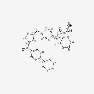 O=C(c1ccc(C2CCCCC2)cc1)N1CC[C@@H](Cc2ccc(S(=O)(=O)C3(C(=O)NO)CCOCC3)cc2)C1